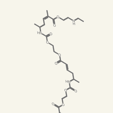 C=C(C)C(=O)OCCOC(=O)NC(C)C/C=C/C(=O)OCCOC(=O)NC(C)C/C=C(/C)C(=O)OCCNCC